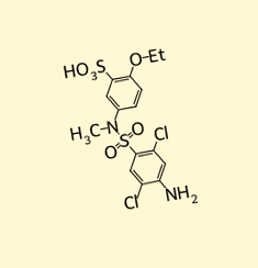 CCOc1ccc(N(C)S(=O)(=O)c2cc(Cl)c(N)cc2Cl)cc1S(=O)(=O)O